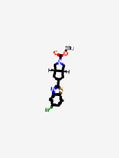 CC(C)(C)OC(=O)N1C[C@H]2CC(c3nc4cc(Br)ccc4s3)C[C@H]2C1